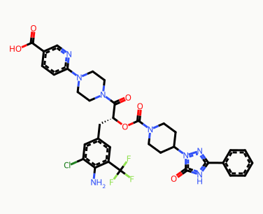 Nc1c(Cl)cc(C[C@@H](OC(=O)N2CCC(n3nc(-c4ccccc4)[nH]c3=O)CC2)C(=O)N2CCN(c3ccc(C(=O)O)cn3)CC2)cc1C(F)(F)F